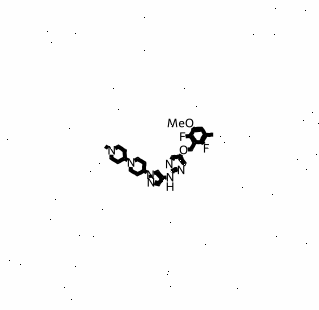 COc1cc(C)c(F)c(COc2cnc(Nc3cnn(C4CCN(C5CCN(C)CC5)CC4)c3)nc2)c1F